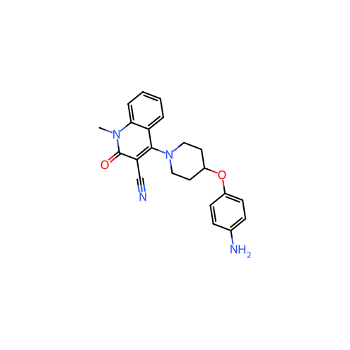 Cn1c(=O)c(C#N)c(N2CCC(Oc3ccc(N)cc3)CC2)c2ccccc21